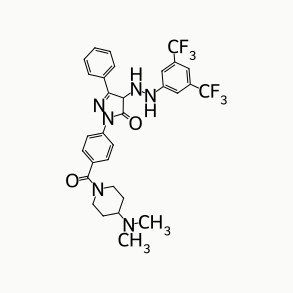 CN(C)C1CCN(C(=O)c2ccc(N3N=C(c4ccccc4)C(NNc4cc(C(F)(F)F)cc(C(F)(F)F)c4)C3=O)cc2)CC1